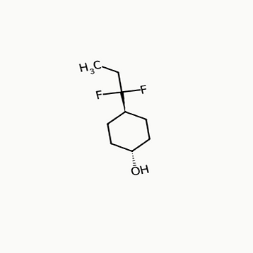 CCC(F)(F)[C@H]1CC[C@H](O)CC1